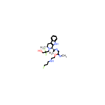 C=C(/N=C\C(=N/C)OCCNCCCF)[C@@H]1c2[nH]c3ccccc3c2C[C@@H](C)N1CC(F)(F)CO